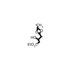 CCOC(=O)CC(O)CC1OC(C)O1